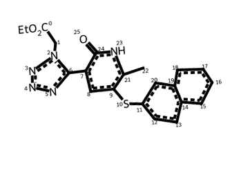 CCOC(=O)Cn1nnnc1-c1cc(Sc2ccc3ccccc3c2)c(C)[nH]c1=O